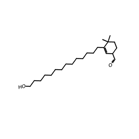 CC1(C)CCC(C=O)C=C1CCCCCCCCCCCCCCO